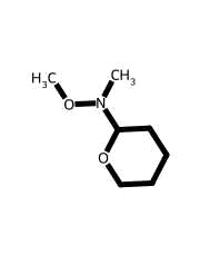 CON(C)C1CCCCO1